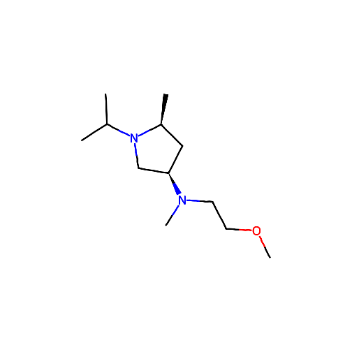 COCCN(C)[C@@H]1C[C@H](C)N(C(C)C)C1